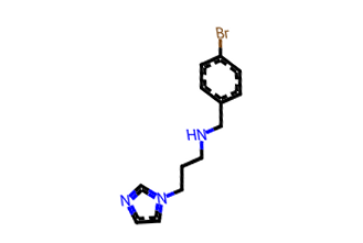 Brc1ccc(CNCCCn2ccnc2)cc1